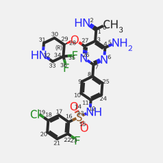 CC(=N)c1c(N)nc(-c2ccc(NS(=O)(=O)c3cc(Cl)ccc3F)cc2)nc1O[C@@H]1CCNCC1(F)F